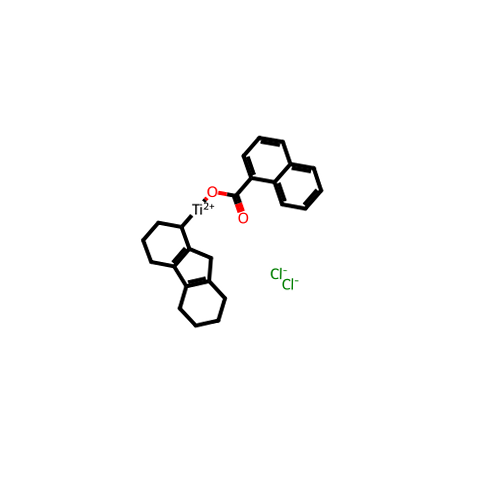 O=C([O][Ti+2][CH]1CCCC2=C1CC1=C2CCCC1)c1cccc2ccccc12.[Cl-].[Cl-]